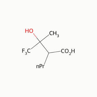 CCCC(C(=O)O)C(C)(O)C(F)(F)F